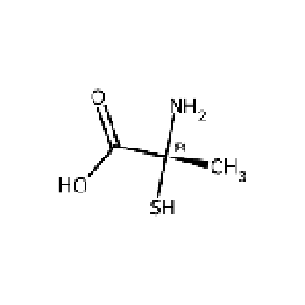 C[C@@](N)(S)C(=O)O